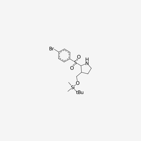 CC(C)(C)[Si](C)(C)OCC1CCNC1S(=O)(=O)c1ccc(Br)cc1